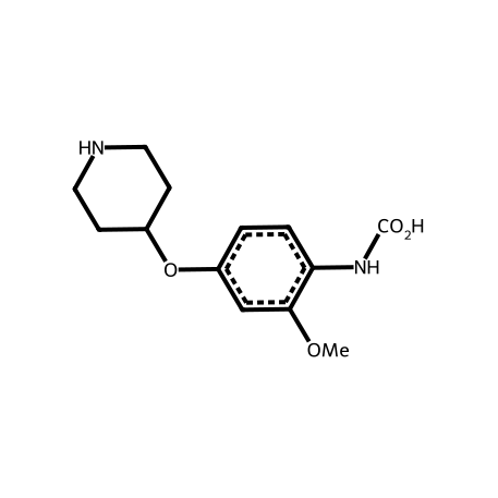 COc1cc(OC2CCNCC2)ccc1NC(=O)O